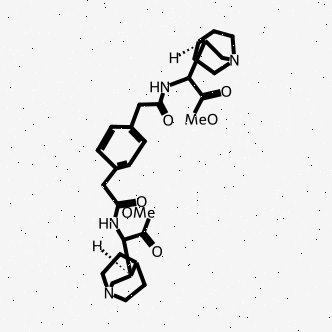 COC(=O)C(NC(=O)Cc1ccc(CC(=O)NC(C(=O)OC)[C@@H]2CN3CCC2CC3)cc1)[C@@H]1CN2CCC1CC2